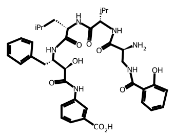 CC(C)C[C@H](NC(=O)[C@@H](NC(=O)[C@@H](N)CNC(=O)c1ccccc1O)C(C)C)C(=O)N[C@@H](Cc1ccccc1)[C@@H](O)C(=O)Nc1cccc(C(=O)O)c1